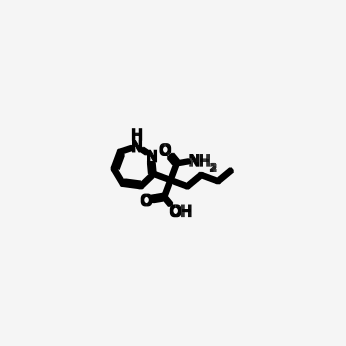 CCCCC(C(N)=O)(C(=O)O)C1=NNC=CC=C1